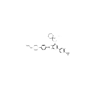 COCC1(CN(C)c2cc(-c3cnc(C4CC4)c(C(F)(F)F)c3)nc3nc(-c4ccc(N5CCN(CCCC(=O)O)C[C@H]5C)cc4)[nH]c23)CCCCC1